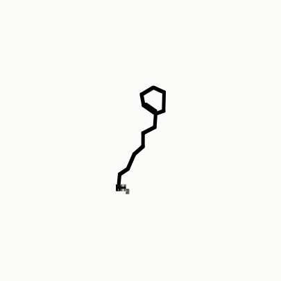 BCCCCCCC1=CCCCC1